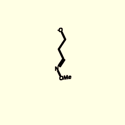 CON=CCC[O]